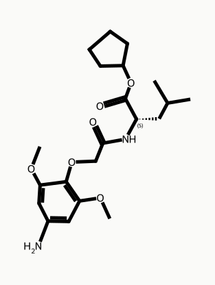 COc1cc(N)cc(OC)c1OCC(=O)N[C@@H](CC(C)C)C(=O)OC1CCCC1